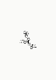 CC1(C)c2ccccc2-c2ccc(N(c3ccc(-c4cccc5c4C(C)(C)c4ccccc4-5)cc3)c3cccc(-c4ccc5c(c4)oc4ccccc45)c3)cc21